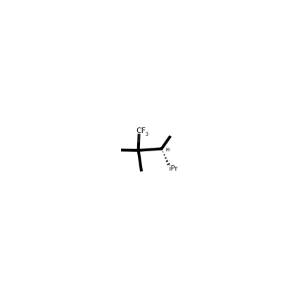 CC(C)[C@@H](C)C(C)(C)C(F)(F)F